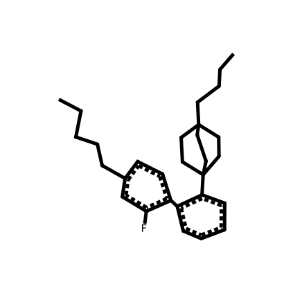 CCCCCc1ccc(-c2ccccc2C23CCC(CCCC)(CC2)CC3)c(F)c1